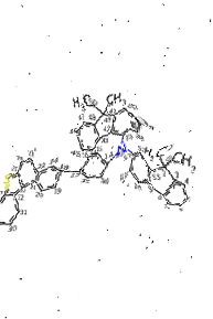 CC1(C)c2ccccc2-c2ccc(N(c3ccc(-c4ccc5c(ccc6sc7ccccc7c65)c4)cc3)c3cccc4c3-c3ccccc3C4(C)C)cc21